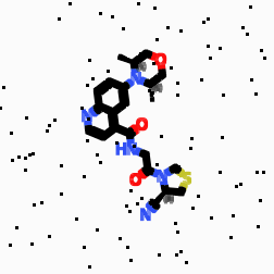 C[C@H]1COC[C@H](C)N1c1ccc2nccc(C(=O)NCC(=O)N3CSC[C@H]3C#N)c2c1